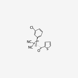 N#CC1(C#N)[C@@H](C(=O)c2cccs2)[C@@H]1c1cccc(Cl)c1